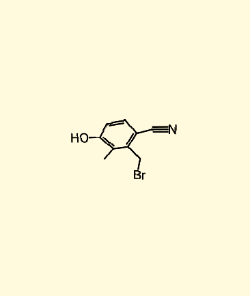 Cc1c(O)ccc(C#N)c1CBr